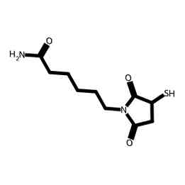 NC(=O)CCCCCN1C(=O)CC(S)C1=O